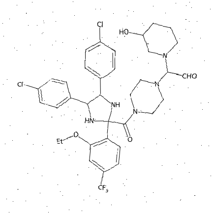 CCOc1cc(C(F)(F)F)ccc1C1(C(=O)N2CCN(C(C=O)N3CCCC(O)C3)CC2)NC(c2ccc(Cl)cc2)C(c2ccc(Cl)cc2)N1